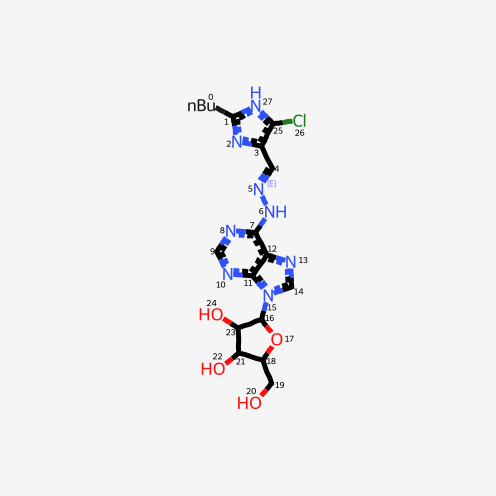 CCCCc1nc(/C=N/Nc2ncnc3c2ncn3C2OC(CO)C(O)C2O)c(Cl)[nH]1